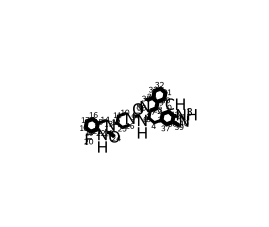 Cc1cc(CC(NC(=O)N2CCC(N3Cc4cccc(F)c4NC3=O)CC2)c2cc3ccccc3cn2)cc2cn[nH]c12